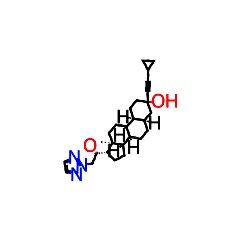 C[C@]12CC[C@H]3[C@@H](CC[C@@H]4C[C@@](O)(C#CC5CC5)CC[C@@H]43)[C@@H]1CC[C@@H]2C(=O)Cn1nccn1